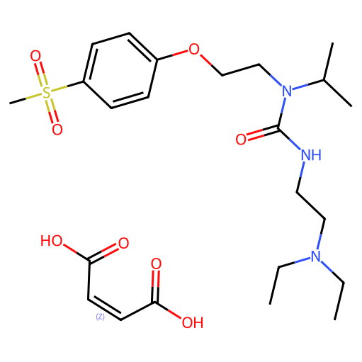 CCN(CC)CCNC(=O)N(CCOc1ccc(S(C)(=O)=O)cc1)C(C)C.O=C(O)/C=C\C(=O)O